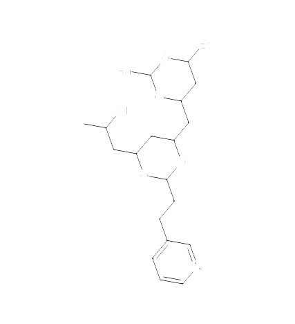 CCC1CC(CC2CC(CC(C)O)OC(CCc3cccnc3)O2)OC(C(C)(C)C)O1